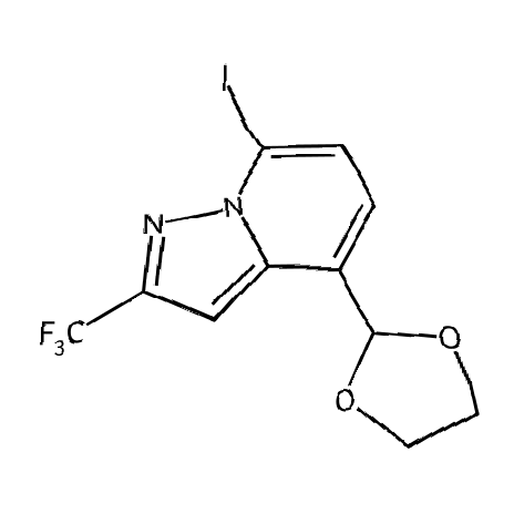 FC(F)(F)c1cc2c(C3OCCO3)ccc(I)n2n1